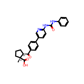 C[C@@]1(C(=O)O)CCC[C@H]1C(=O)c1ccc(-c2ccc(NC(=O)Nc3ccccc3)nc2)cc1